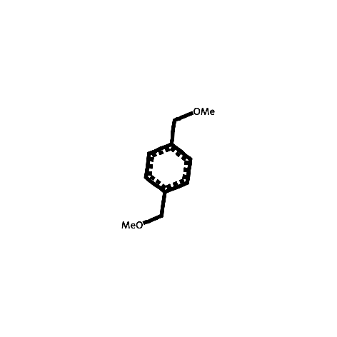 COCc1ccc(COC)cc1